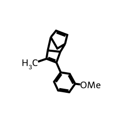 COc1cccc(C2=C(C)C3C4C=CC(C4)C23)c1